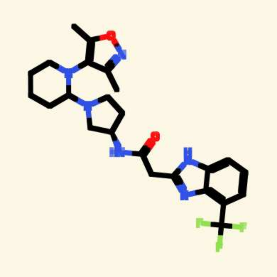 Cc1noc(C)c1N1CCCCC1N1CC[C@@H](NC(=O)Cc2nc3c(C(F)(F)F)cccc3[nH]2)C1